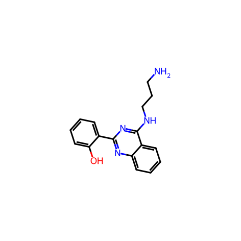 NCCCNc1nc(-c2ccccc2O)nc2ccccc12